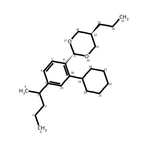 CCCC(C)c1ccc([C@H]2OC[C@H](CCC)CO2)c(C2CCCCC2)c1